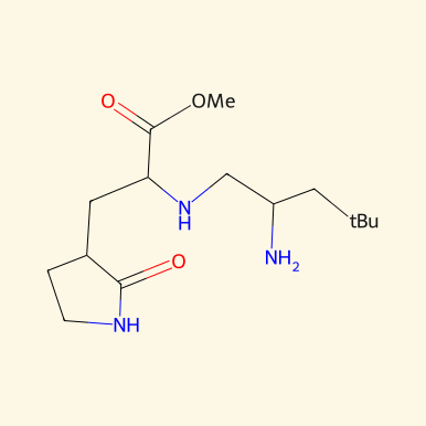 COC(=O)C(CC1CCNC1=O)NCC(N)CC(C)(C)C